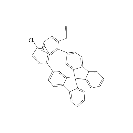 C=Cc1ccccc1-c1ccc2c(c1)C1(c3ccccc3-c3ccc(-c4ccc(Cl)cc4)cc31)c1ccccc1-2